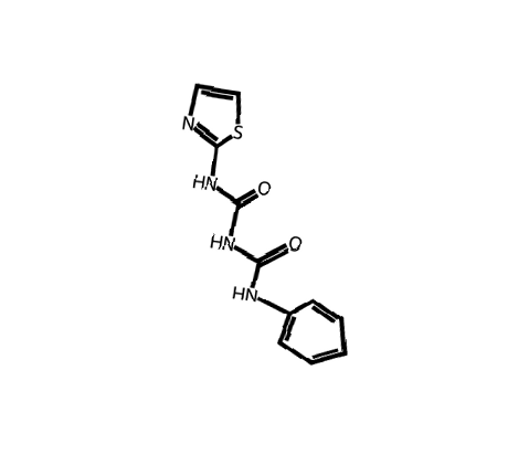 O=C(NC(=O)Nc1nccs1)Nc1ccccc1